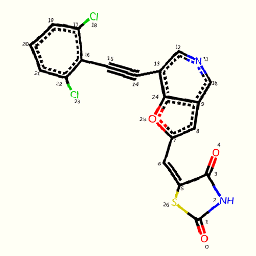 O=C1NC(=O)/C(=C\c2cc3cncc(C#Cc4c(Cl)cccc4Cl)c3o2)S1